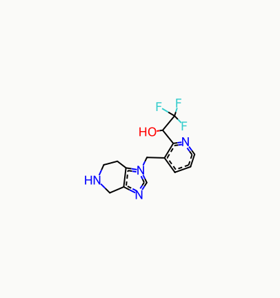 OC(c1ncccc1Cn1cnc2c1CCNC2)C(F)(F)F